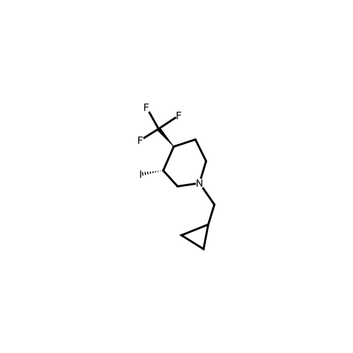 FC(F)(F)[C@H]1CCN(CC2CC2)C[C@@H]1I